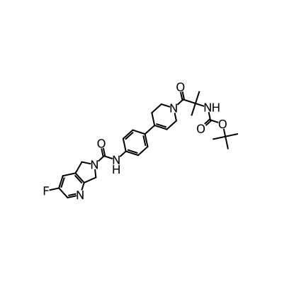 CC(C)(C)OC(=O)NC(C)(C)C(=O)N1CC=C(c2ccc(NC(=O)N3Cc4cc(F)cnc4C3)cc2)CC1